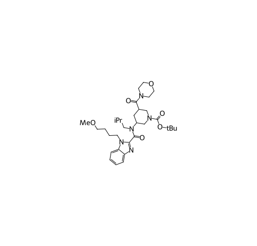 COCCCCn1c(C(=O)N(CC(C)C)C2CC(C(=O)N3CCOCC3)CN(C(=O)OC(C)(C)C)C2)nc2ccccc21